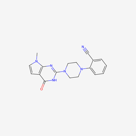 Cn1ccc2c(=O)[nH]c(N3CCN(c4ccccc4C#N)CC3)nc21